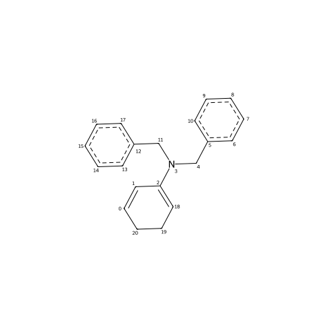 C1=CC(N(Cc2ccccc2)Cc2ccccc2)=CCC1